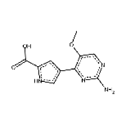 COc1cnc(N)nc1-c1c[nH]c(C(=O)O)c1